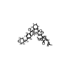 CC(C)C[C@H](NC(=O)[C@@H]1CCCC[C@@H]1NC(=O)c1ccc(CN2CCOCC2)cc1)C(=O)c1nn(CC2CC2)c(=O)o1